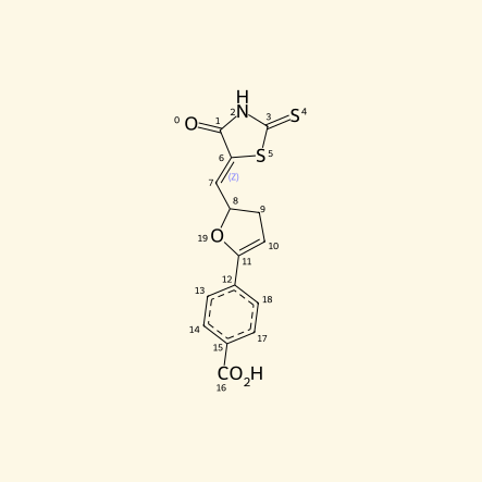 O=C1NC(=S)S/C1=C\C1CC=C(c2ccc(C(=O)O)cc2)O1